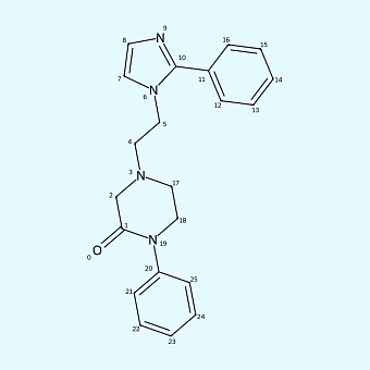 O=C1CN(CCn2ccnc2-c2ccccc2)CCN1c1ccccc1